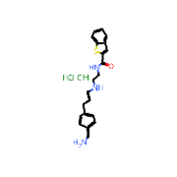 Cl.Cl.NCc1ccc(CCCNCCNC(=O)c2cc3ccccc3s2)cc1